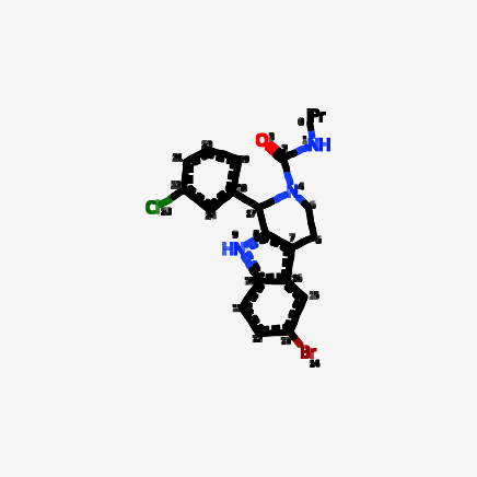 CC(C)NC(=O)N1CCc2c([nH]c3ccc(Br)cc23)C1c1cccc(Cl)c1